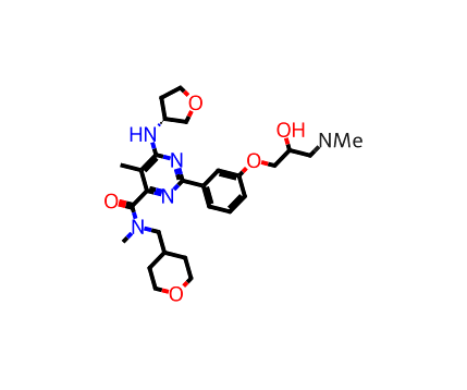 CNCC(O)COc1cccc(-c2nc(N[C@@H]3CCOC3)c(C)c(C(=O)N(C)CC3CCOCC3)n2)c1